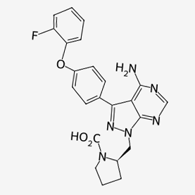 Nc1ncnc2c1c(-c1ccc(Oc3ccccc3F)cc1)nn2C[C@H]1CCCN1C(=O)O